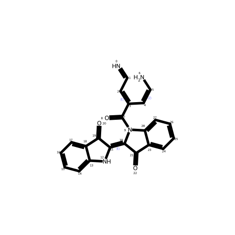 N=C/C=C(\C=C/N)C(=O)N1/C(=C2/Nc3ccccc3C2=O)C(=O)c2ccccc21